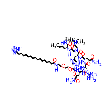 CCCC[C@H](NC(=O)CN(CCN(C)C)C(=O)[C@H](Cc1c[nH]cn1)NC(=O)[C@H](CCC(N)=O)NC(=O)[C@H](CNC(=N)N)NC(=O)[C@H](CCC(N)=O)NC(=O)COCCOCCNC(=O)CCCCCCCCCCCCCCCc1nnn[nH]1)C(=O)NC